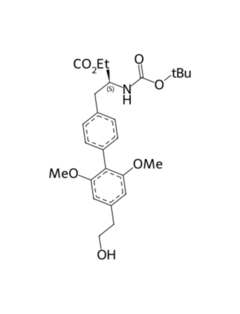 CCOC(=O)[C@H](Cc1ccc(-c2c(OC)cc(CCO)cc2OC)cc1)NC(=O)OC(C)(C)C